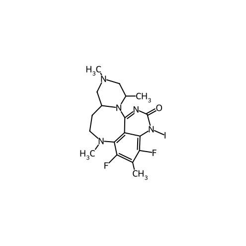 Cc1c(F)c2c3c(nc(=O)n(I)c3c1F)N1C(C)CN(C)CC1CCN2C